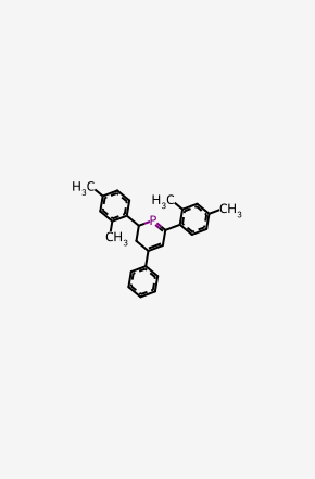 Cc1ccc(C2=PC(c3ccc(C)cc3C)CC(c3ccccc3)=C2)c(C)c1